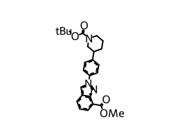 COC(=O)c1cccc2cn(-c3ccc(C4CCCN(C(=O)OC(C)(C)C)C4)cc3)nc12